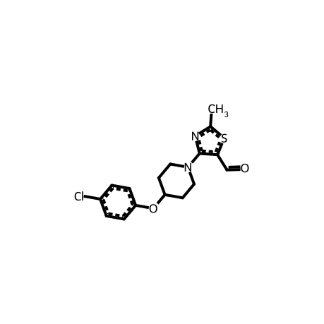 Cc1nc(N2CCC(Oc3ccc(Cl)cc3)CC2)c(C=O)s1